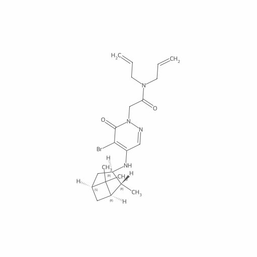 C=CCN(CC=C)C(=O)Cn1ncc(N[C@@H]2C[C@@H]3C[C@H]([C@H]2C)C3(C)C)c(Br)c1=O